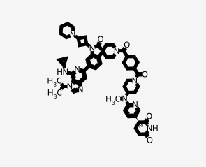 CC(C)n1cnc2cc(-c3ccc4c(c3)N(C3CC(N5CCCCC5)C3)C(=O)C43CCN(C(=O)C4CCC(C(=O)N5CCC(N(C)c6ccc([C@H]7CCC(=O)NC7=O)cn6)CC5)CC4)CC3)nc(NC3CC3)c21